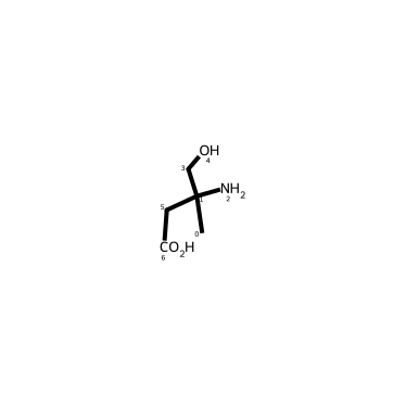 CC(N)(CO)CC(=O)O